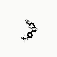 COc1ccc2ncc(-c3ccc(OC(F)(F)F)cc3)n2n1